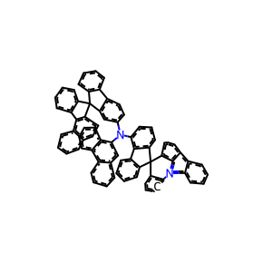 c1ccc2c(c1)-c1ccc(N(c3cccc4c3-c3ccccc3C43c4ccccc4-n4c5ccccc5c5cccc3c54)c3cc4ccccc4c4ccccc34)cc1C21c2ccccc2-c2c1ccc1ccccc21